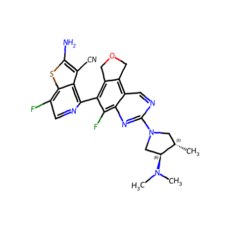 C[C@H]1CN(c2ncc3c4c(c(-c5ncc(F)c6sc(N)c(C#N)c56)c(F)c3n2)COC4)C[C@@H]1N(C)C